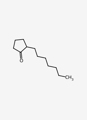 CCCCCCCC1CCCC1=O